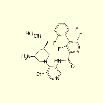 CCc1cncc(NC(=O)c2ccc(F)c(-c3c(F)cccc3F)c2F)c1N1C[C@H](C)C[C@H](N)C1.Cl.Cl